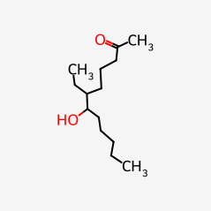 CCCCCC(O)C(CC)CCCC(C)=O